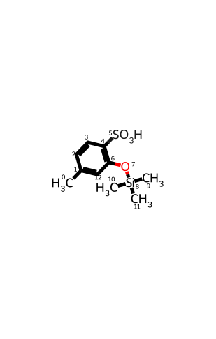 Cc1ccc(S(=O)(=O)O)c(O[Si](C)(C)C)c1